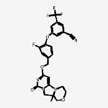 CC12COCCN1c1cc(OCc3ccc(Oc4cc(C#N)cc(C(F)(F)F)c4)c(F)c3)nc(=O)n1C2